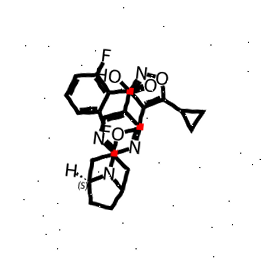 O=C(O)c1cnc(N2C3CC[C@H]2CC(OCc2c(-c4c(F)cccc4F)noc2C2CC2)C3)nc1